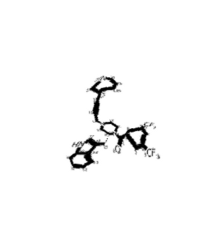 O=C(c1cc(C(F)(F)F)cc(C(F)(F)F)c1)N1CCN(CC#Cc2cccnc2)C[C@H]1Cc1c[nH]c2ccccc12